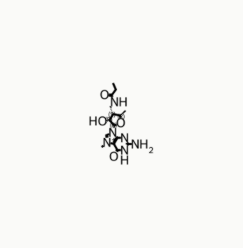 CCC(=O)NC[C@H]1[C@@H](O)[C@H](n2c[n+](C)c3c(=O)[nH]c(N)nc32)O[C@@H]1C